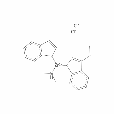 CCC1=C[CH]([Zr+2]([CH]2C=Cc3ccccc32)[SiH](C)C)c2ccccc21.[Cl-].[Cl-]